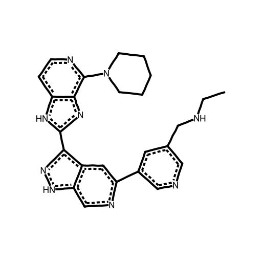 CCNCc1cncc(-c2cc3c(-c4nc5c(N6CCCCC6)nccc5[nH]4)n[nH]c3cn2)c1